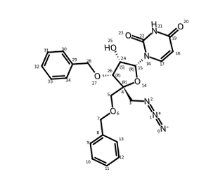 [N-]=[N+]=NC[C@]1(COCc2ccccc2)O[C@@H](n2ccc(=O)[nH]c2=O)[C@@H](O)[C@H]1OCc1ccccc1